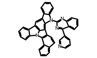 c1cncc(-c2nc(-n3c4ccccc4c4cc5c6ccccc6n6c7c8ccccc8ccc7c(c43)c56)nc3ccccc23)c1